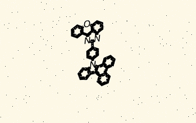 c1ccc2c(c1)Oc1cccc3nc(-c4ccc(-n5c6ccccc6c6c7ccccc7c7ccccc7c65)cc4)nc-2c13